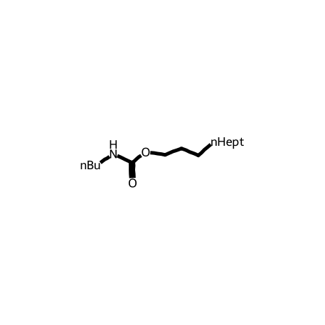 CCCCCCCCCCOC(=O)NCCCC